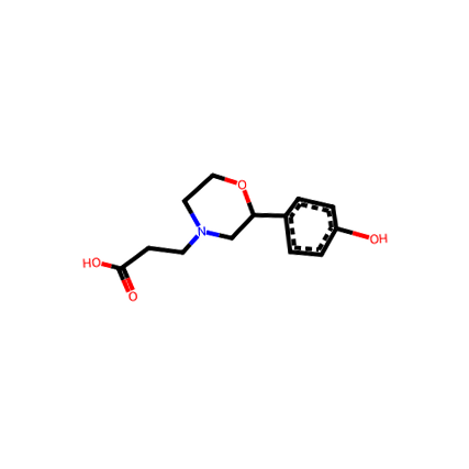 O=C(O)CCN1CCOC(c2ccc(O)cc2)C1